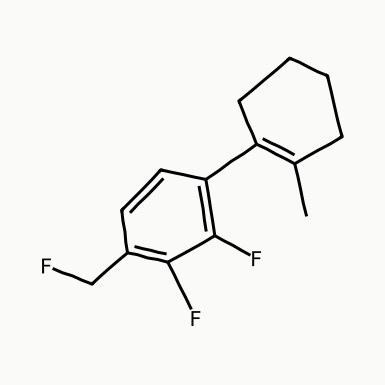 CC1=C(c2ccc(CF)c(F)c2F)CCCC1